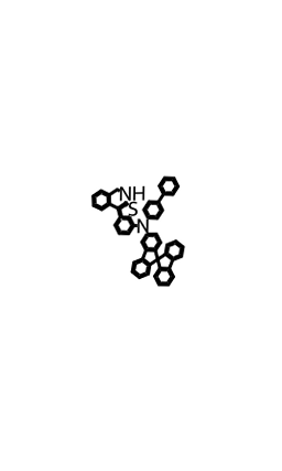 c1ccc(-c2ccc(N(c3ccc4c(c3)-c3ccccc3C43c4ccccc4-c4ccccc43)c3cccc4c5c(sc34)NCc3ccccc3-5)cc2)cc1